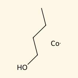 CCCCO.[Co]